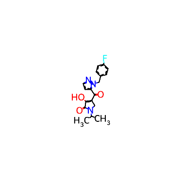 CC(C)N1CC(C(=O)c2ccnn2Cc2ccc(F)cc2)=C(O)C1=O